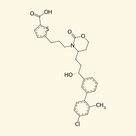 Cc1cc(Cl)ccc1-c1cccc([C@H](O)CCC2CCOC(=O)N2CCCc2ccc(C(=O)O)s2)c1